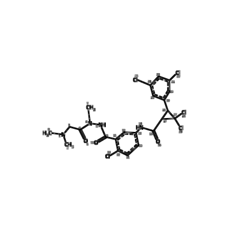 CN(C)CC(=O)N(C)NC(=O)c1cc(NC(=O)C2C(c3cc(Cl)cc(Cl)c3)C2(Cl)Cl)ccc1Cl